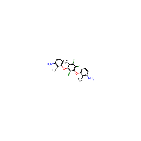 Nc1cccc(Oc2c(F)c(F)c(C(F)(F)F)c(Oc3cccc(N)c3C(F)(F)F)c2F)c1C(F)(F)F